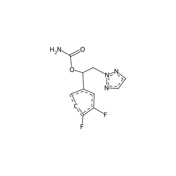 NC(=O)OC(Cn1nccn1)c1ccc(F)c(F)c1